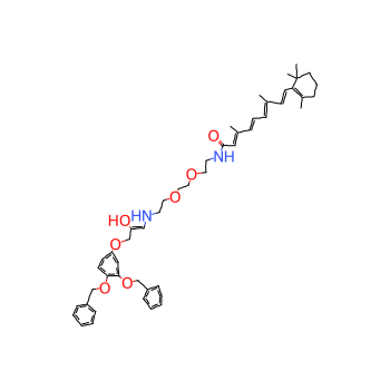 CC1=C(/C=C/C(C)=C/C=C/C(C)=C/C(=O)NCCOCCOCCN/C=C(\O)COc2ccc(OCc3ccccc3)c(OCc3ccccc3)c2)C(C)(C)CCC1